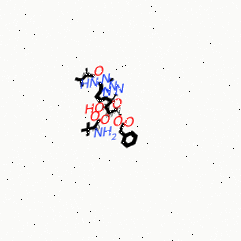 CC(C)[C@@H](C)C(=O)Nc1ncnn2c([C@]3(C#N)O[C@H](COC(=O)Cc4ccccc4)[C@@H](OC(=O)[C@@H](N)C(C)(C)C)[C@H]3O)ccc12